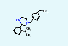 CCc1ccc(CN2CCNC(c3ccccc3C(C)C)C2)cc1